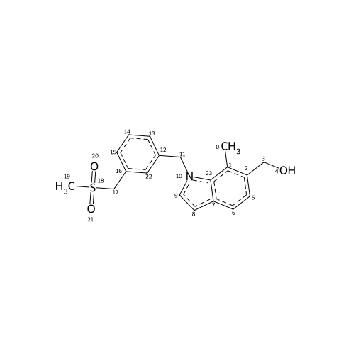 Cc1c(CO)ccc2ccn(Cc3cccc(CS(C)(=O)=O)c3)c12